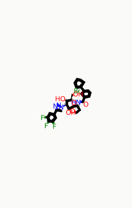 O=C(N[C@@H]1CCO[C@]12O[C@H](CO)[C@H](O)[C@H](n1cc(-c3cc(F)c(F)c(F)c3)nn1)[C@H]2O)c1cccc(-c2ccccc2Br)c1